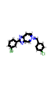 Clc1ccc(Cn2ccc3nc(-c4cccc(Br)c4)nc-3c2)cc1